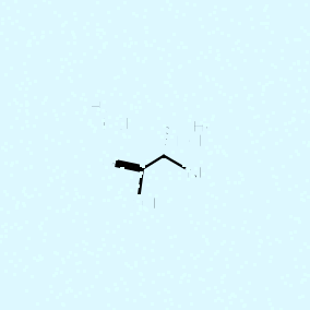 C[C@H](N)C(=O)O.Cl.Cl.Cl.Cl